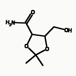 CC1(C)OC(CO)C(C(N)=O)O1